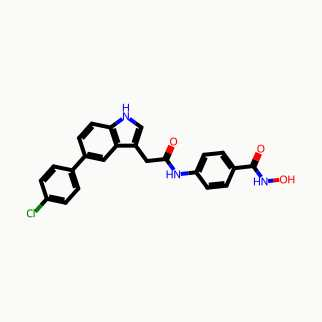 O=C(Cc1c[nH]c2ccc(-c3ccc(Cl)cc3)cc12)Nc1ccc(C(=O)NO)cc1